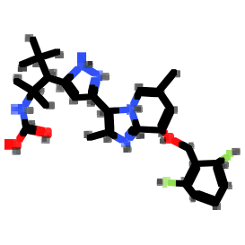 Cc1cc(OCc2c(F)cccc2F)c2nc(C)c(-c3cc(C(C(C)(C)C)C(C)(C)NC(=O)O)[nH]n3)n2c1